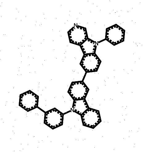 c1ccc(-c2cccc(-n3c4ccccc4c4cc(-c5ccc6c(c5)c5ccncc5n6-c5ccccc5)ccc43)c2)cc1